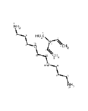 C=CN(C=C)C(=O)O.NCCCOCCOCCCN